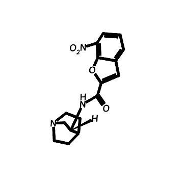 O=C(N[C@H]1CN2CCC1CC2)c1cc2cccc([N+](=O)[O-])c2o1